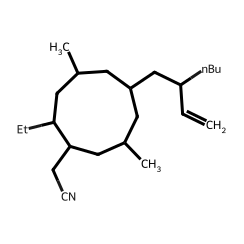 C=CC(CCCC)CC1CC(C)CC(CC)C(CC#N)CC(C)C1